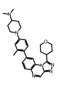 Cc1cc(N2CCC(N(C)C)CC2)ccc1-c1ccc2ncc3nnc(C4CCOCC4)n3c2c1